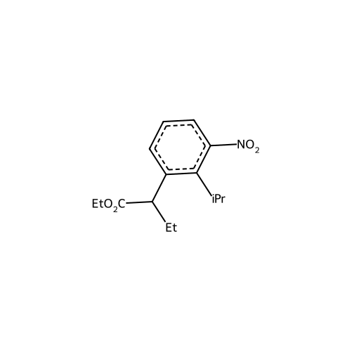 CCOC(=O)C(CC)c1cccc([N+](=O)[O-])c1C(C)C